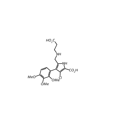 COc1ccc(-c2c(CNCCC(=O)O)[nH]c(C(=O)O)c2Cl)c(OC)c1OC